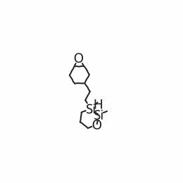 C[SiH]1OCCC[Si]1(C)CCC1CCC2OC2C1